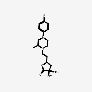 CCCCC1(CCC)CC(CCN2CCN(c3ccc(F)cc3)CC2C)OC1=O